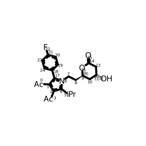 CC(=O)c1c(C(C)=O)c(C(C)C)n(CC[C@@H]2C[C@@H](O)CC(=O)O2)c1-c1ccc(F)cc1